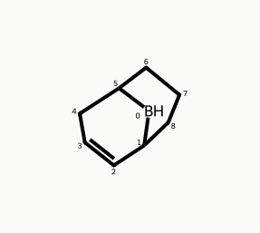 B1C2C=CCC1CCC2